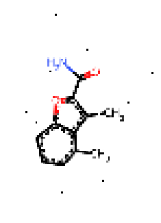 Cc1cccc2oc(C(N)=O)c(C)c12